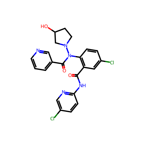 O=C(Nc1ccc(Cl)cn1)c1cc(Cl)ccc1N(C(=O)c1cccnc1)N1CCC(O)C1